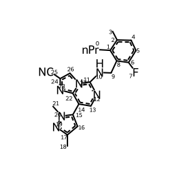 CCCc1c(C)ccc(F)c1CNc1ncc(-c2cc(C)nn2C)c2nc(C#N)cn12